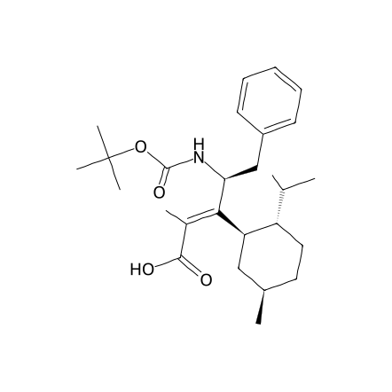 C/C(C(=O)O)=C(\[C@H](Cc1ccccc1)NC(=O)OC(C)(C)C)[C@@H]1C[C@H](C)CC[C@H]1C(C)C